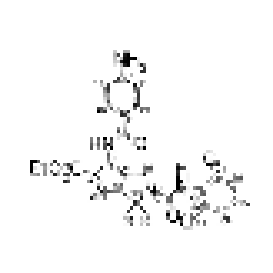 CCOC(=O)C1=NC2C(=C1NC(=O)c1ccc(N)cc1)CN(C(=O)Nc1c(Cl)cccc1Cl)C2(C)C